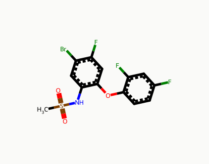 CS(=O)(=O)Nc1cc(Br)c(F)cc1Oc1ccc(F)cc1F